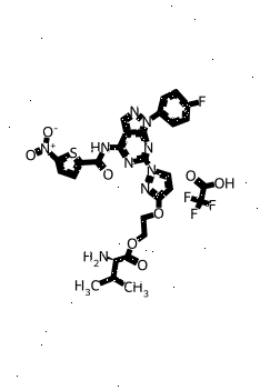 CC(C)[C@H](N)C(=O)OCCOc1ccn(-c2nc(NC(=O)c3ccc([N+](=O)[O-])s3)c3cnn(-c4ccc(F)cc4)c3n2)n1.O=C(O)C(F)(F)F